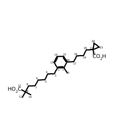 Cc1c(CCCCCCC(C)(C)C(=O)O)cccc1CCCCC1(C(=O)O)CC1